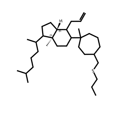 C=CCC1C(C2(C)CCCC(CSCCC)CC2)CC[C@@]2(C)C(C(C)CCCC(C)C)CC[C@H]12